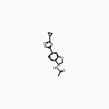 CC(=O)N[C@@H]1COc2cc(-c3noc(C4CC4)n3)ccc21